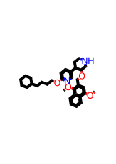 COc1cc(COC2CNCCC2c2ccc(OCCCCC3CCCCC3)nc2)c(OC)c2ccccc12